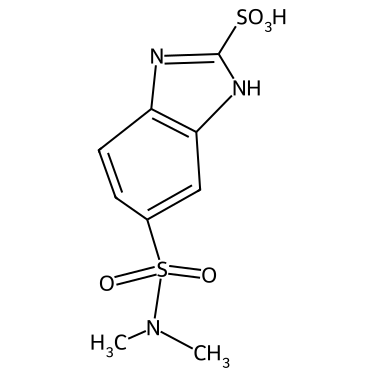 CN(C)S(=O)(=O)c1ccc2nc(S(=O)(=O)O)[nH]c2c1